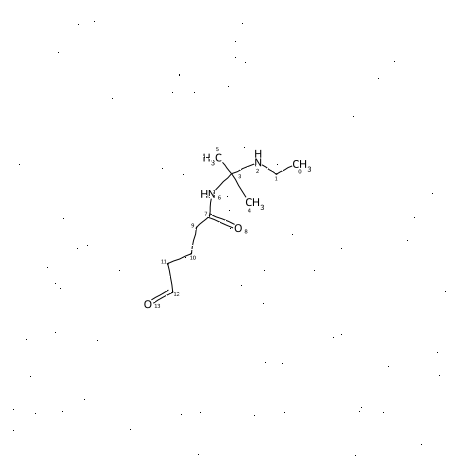 CCNC(C)(C)NC(=O)CCCC=O